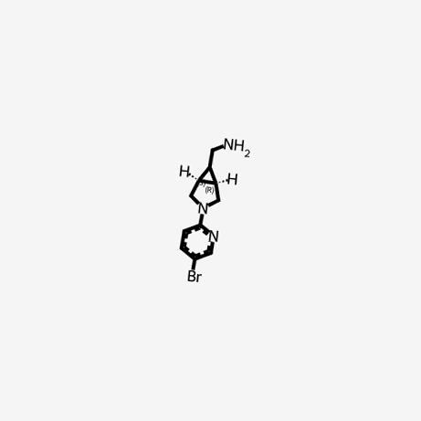 NCC1[C@H]2CN(c3ccc(Br)cn3)C[C@@H]12